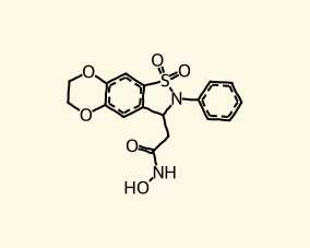 O=C(CC1c2cc3c(cc2S(=O)(=O)N1c1ccccc1)OCCO3)NO